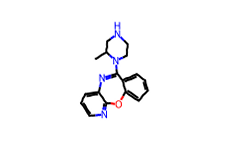 CC1CNCCN1C1=Nc2cccnc2Oc2ccccc21